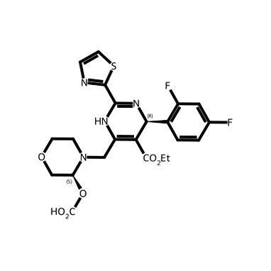 CCOC(=O)C1=C(CN2CCOC[C@@H]2OC(=O)O)NC(c2nccs2)=N[C@H]1c1ccc(F)cc1F